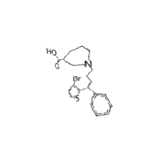 O=C(O)C1CCCN(CCC=C(c2ccccc2)c2sccc2Br)C1